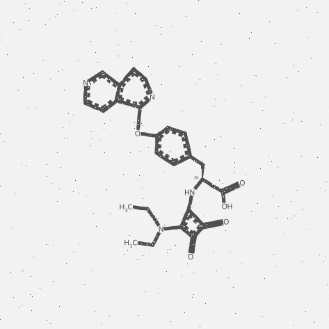 CCN(CC)c1c(N[C@@H](Cc2ccc(Oc3nccc4cnccc34)cc2)C(=O)O)c(=O)c1=O